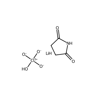 O=C1CCC(=O)N1.[LiH].[O-][Cl+3]([O-])([O-])O